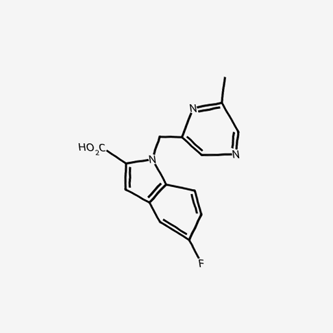 Cc1cncc(Cn2c(C(=O)O)cc3cc(F)ccc32)n1